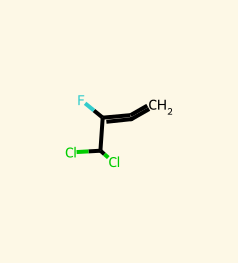 C=C=C(F)C(Cl)Cl